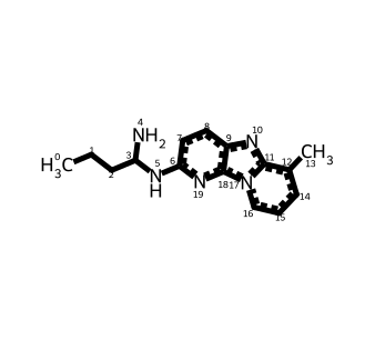 CCCC(N)Nc1ccc2nc3c(C)cccn3c2n1